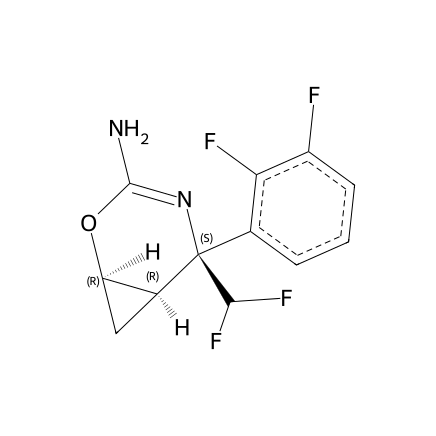 NC1=N[C@@](c2cccc(F)c2F)(C(F)F)[C@H]2C[C@H]2O1